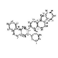 c1ccc(-c2nc3ccc4ccccc4c3nc2-c2ccc3c(ccc4c5ccccc5sc34)c2)cc1